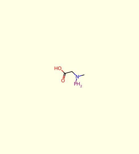 CN(P)CC(=O)O